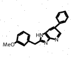 COc1cccc(Cc2nc3ncc(-c4ccccc4)cc3[nH]2)c1